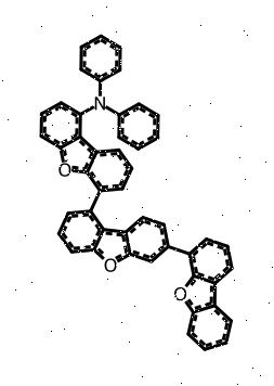 c1ccc(N(c2ccccc2)c2cccc3oc4c(-c5cccc6oc7cc(-c8cccc9c8oc8ccccc89)ccc7c56)cccc4c23)cc1